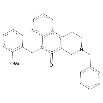 COc1ccccc1Cn1c(=O)c2c(c3cccnc31)CCN(Cc1ccccc1)C2